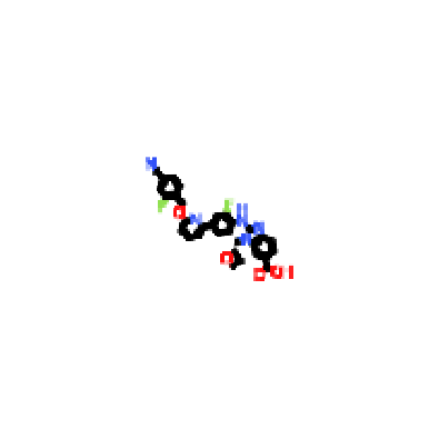 N#Cc1ccc(COc2cccc(-c3ccc(Nc4nc5ccc(C(=O)O)cc5n4C[C@@H]4CCO4)c(F)c3)n2)c(F)c1